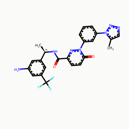 Cc1cnnn1-c1cccc(-n2nc(C(=O)N[C@H](C)c3cc(N)cc(C(F)(F)F)c3)ccc2=O)c1